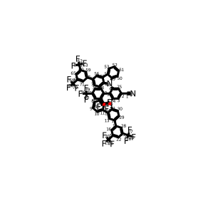 N#Cc1cc(-n2c3ccccc3c3cc(-c4cc(C(F)(F)F)cc(C(F)(F)F)c4)ccc32)c(-c2ccc(C(F)(F)F)cc2C(F)(F)F)c(-n2c3ccccc3c3cc(-c4cc(C(F)(F)F)cc(C(F)(F)F)c4)ccc32)c1